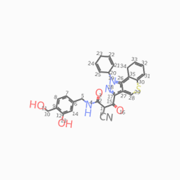 N#CC(C(=O)NCc1ccc(CO)c(O)c1)C(=O)c1nn(C2C=CCC=C2)c2c1=CSC1=CC=CCC=21